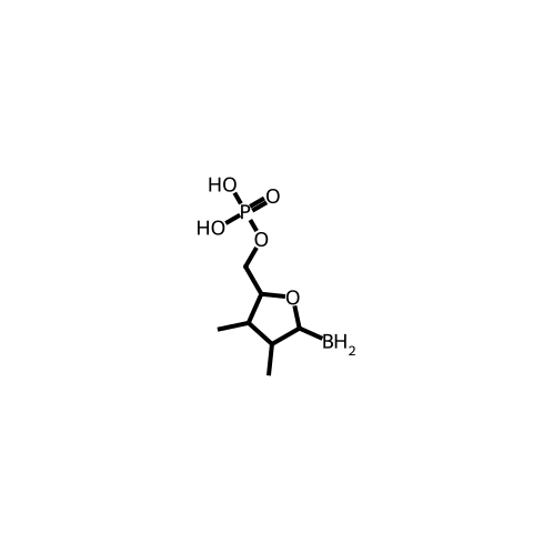 BC1OC(COP(=O)(O)O)C(C)C1C